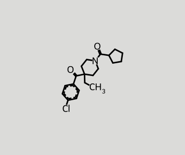 CCC1(C(=O)c2ccc(Cl)cc2)CCN(C(=O)C2CCCC2)CC1